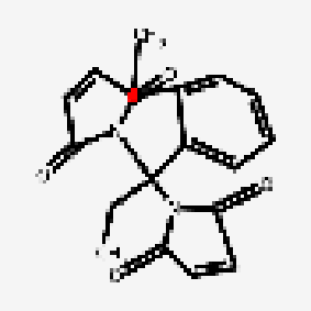 CCc1ccccc1C(CC)(N1C(=O)C=CC1=O)N1C(=O)C=CC1=O